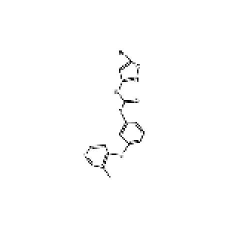 Cc1cnccc1Sc1cccc(NC(=O)Nc2cc(C(C)(C)C)on2)c1